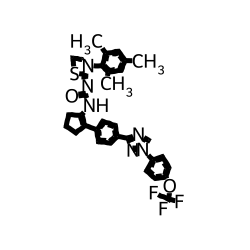 Cc1cc(C)c(N2CCS/C2=N\C(=O)NC2=C(c3ccc(-c4ncn(-c5ccc(OC(F)(F)F)cc5)n4)cc3)CCC2)c(C)c1